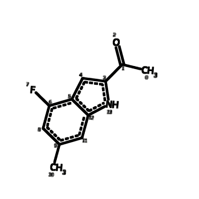 CC(=O)c1cc2c(F)cc(C)cc2[nH]1